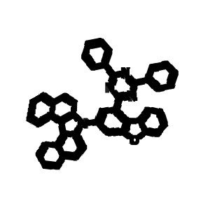 c1ccc(-c2nc(-c3ccccc3)nc(-c3cc(-n4c5ccc6ccccc6c5c5c6ccccc6ccc54)cc4oc5ccccc5c34)n2)cc1